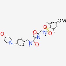 COc1cc(C)c(S(=O)(=O)N(C)Cc2nc(C(=O)N(C)Cc3ccc(CN4CCC(O)CC4)cc3)co2)c(C)c1